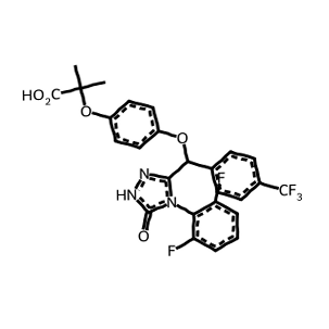 CC(C)(Oc1ccc(OC(c2ccc(C(F)(F)F)cc2)c2n[nH]c(=O)n2-c2c(F)cccc2F)cc1)C(=O)O